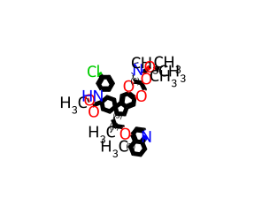 COC(=O)C1(Nc2cccc(Cl)c2)CCC2(CC1)c1cc3c(cc1C[C@@H]2C[C@@H](C)COc1ccnc2c1[C@H](C)CCC2)OCC[C@@H](CN(C)C(=O)OC(C)(C)C)O3